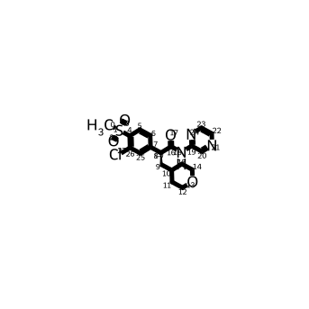 CS(=O)(=O)c1ccc([C@H](CC2CCOCC2)C(=O)Nc2cnccn2)cc1Cl